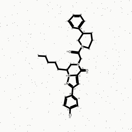 CCCCCC1CN(CC(=O)N2CCCC(c3ccccc3)C2)C(=O)c2cc(-c3ccc(Cl)cc3)nn21